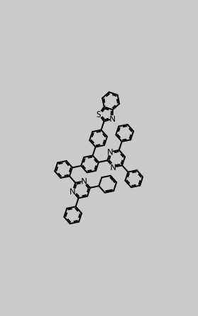 C1=CCC(c2cc(-c3ccccc3)nc(-c3ccccc3-c3ccc(-c4nc(-c5ccccc5)cc(-c5ccccc5)n4)c(-c4ccc(-c5nc6ccccc6s5)cc4)c3)n2)C=C1